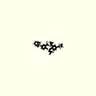 Cc1ccc2c(C3(NC(=O)c4cc(N5CC6CCC(C5)N6C)ccc4C)CC3)cc(-c3nccs3)cc2n1